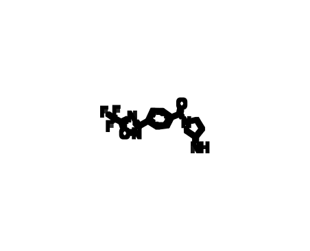 N=C1CCN(C(=O)c2ccc(-c3noc(C(F)(F)F)n3)cc2)C1